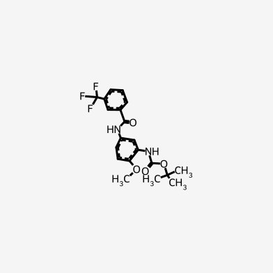 COc1ccc(NC(=O)c2cccc(C(F)(F)F)c2)cc1NC(=O)OC(C)(C)C